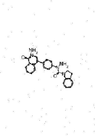 NN(C(=O)N1CCc2ccccc21)c1ccc(-c2cn(N)c(=O)c3ccccc23)cc1